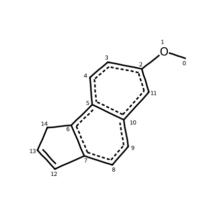 COc1ccc2c3c(ccc2c1)C=CC3